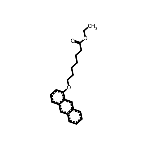 CCOC(=O)CCCCCCOc1cccc2cc3ccccc3cc12